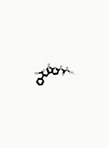 CNC(=O)Nc1ccc2c(C=C(C(=O)O)c3ccccc3)c[nH]c2n1